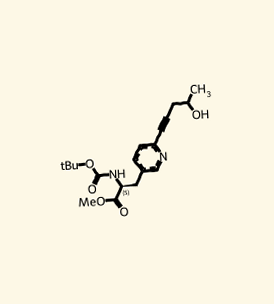 COC(=O)[C@H](Cc1ccc(C#CCC(C)O)nc1)NC(=O)OC(C)(C)C